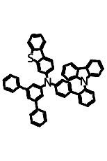 c1ccc(-c2cc(-c3ccccc3)cc(N(c3ccc(-c4ccccc4-n4c5ccccc5c5ccccc54)cc3)c3ccc4c(c3)sc3ccccc34)c2)cc1